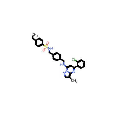 CCc1ccc(S(=O)(=O)NCc2ccc(CNc3cc(-c4ccccc4Cl)nc4c(C)cnn34)cc2)cc1